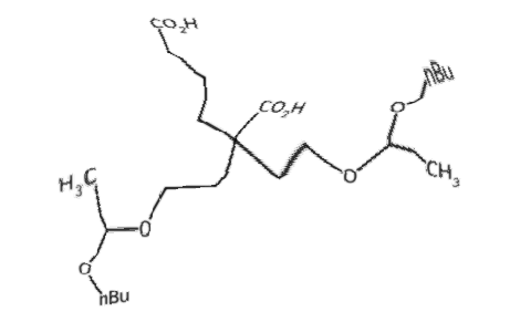 CCCCOC(C)OCCC(CCCC(=O)O)(CCOC(C)OCCCC)C(=O)O